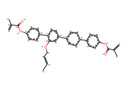 C=C(C)C(=O)Oc1ccc(-c2ccc(-c3ccc(-c4ccc(OC(=O)C(=C)C)cc4)c(OC/C=C/C)c3)cc2)cc1